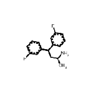 C[C@H](N)CC(c1cccc(F)c1)c1cccc(F)c1